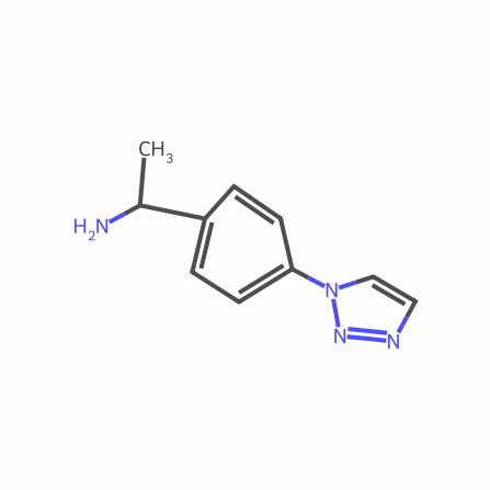 CC(N)c1ccc(-n2ccnn2)cc1